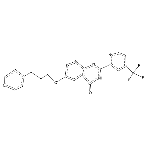 O=c1[nH]c(-c2cc(C(F)(F)F)ccn2)nc2ncc(OCCCc3ccncc3)cc12